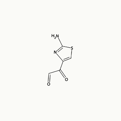 Nc1nc(C(=O)C=O)cs1